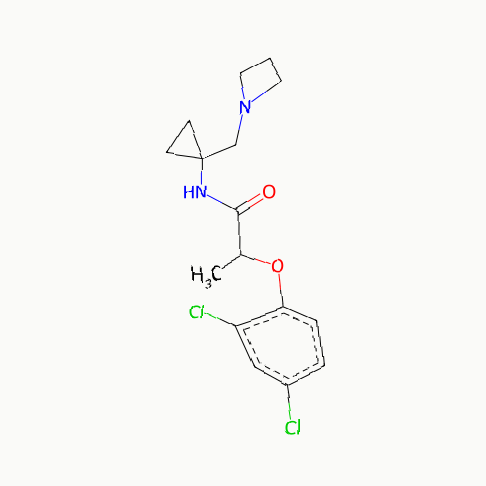 CC(Oc1ccc(Cl)cc1Cl)C(=O)NC1(CN2CCC2)CC1